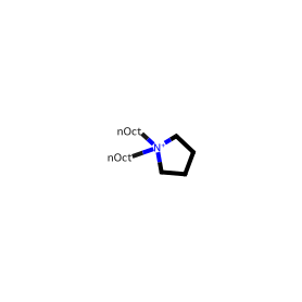 CCCCCCCC[N+]1(CCCCCCCC)CCCC1